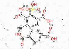 O=C(O)c1cc[c]([Na])c(C(=O)O)c1S(=O)(=O)O.O=C(O)c1ccc(C(=O)O)cc1